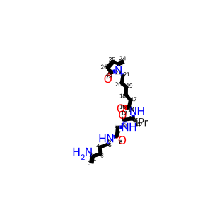 C=C(N)CCCNC(=O)CNC(=O)C(NC(=O)CCCCCN1C(=C)C=CC1=O)C(C)C